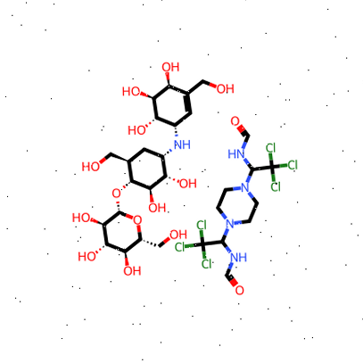 O=CNC(N1CCN(C(NC=O)C(Cl)(Cl)Cl)CC1)C(Cl)(Cl)Cl.OCC1=C[C@H](N[C@H]2C[C@H](CO)[C@@H](O[C@@H]3O[C@H](CO)[C@@H](O)[C@H](O)[C@H]3O)[C@H](O)[C@H]2O)[C@H](O)[C@@H](O)[C@H]1O